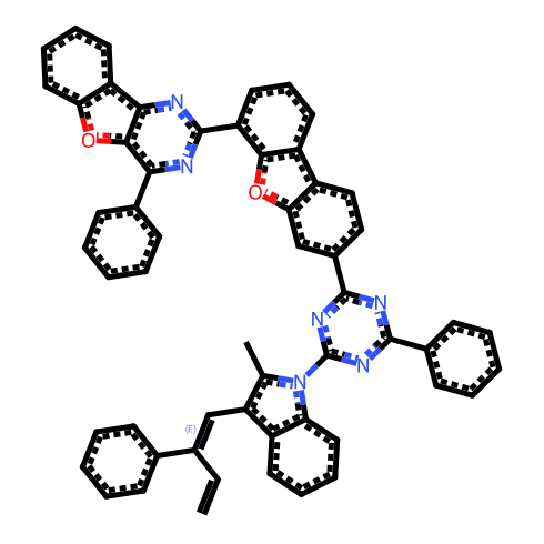 C=C/C(=C\c1c(C)n(-c2nc(-c3ccccc3)nc(-c3ccc4c(c3)oc3c(-c5nc(-c6ccccc6)c6oc7ccccc7c6n5)cccc34)n2)c2ccccc12)c1ccccc1